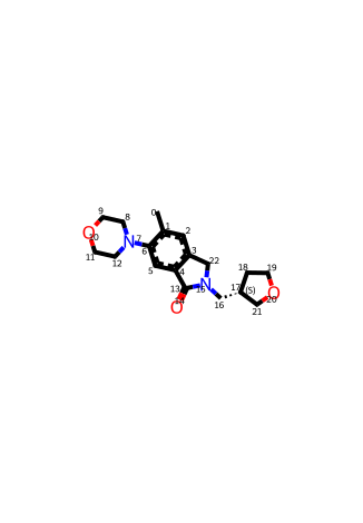 Cc1cc2c(cc1N1CCOCC1)C(=O)N(C[C@@H]1CCOC1)C2